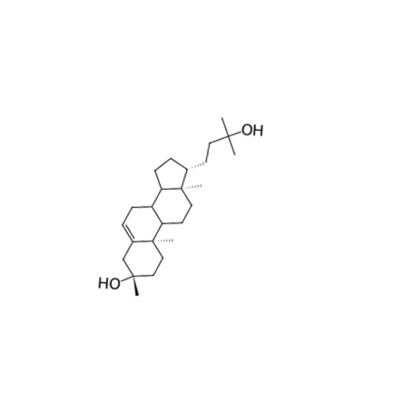 CC(C)(O)CC[C@H]1CCC2C3CC=C4C[C@@](C)(O)CC[C@]4(C)C3CC[C@@]21C